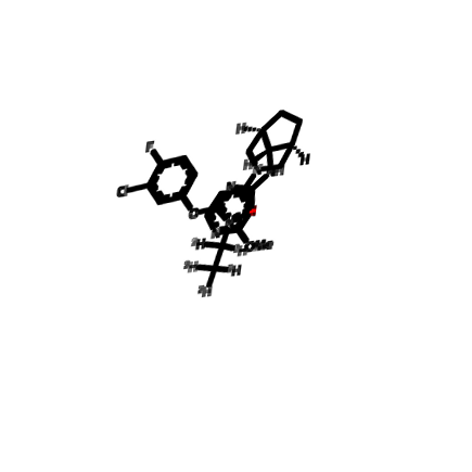 [2H]C([2H])([2H])C([2H])([2H])n1nc(N[C@@H]2[C@@H]3CC[C@H]2CN(c2ccnc(OC)c2)C3)nc1Oc1ccc(F)c(Cl)c1